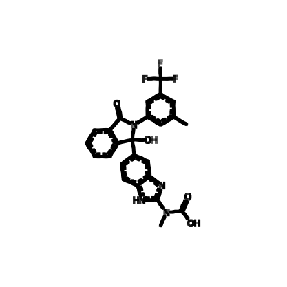 Cc1cc(N2C(=O)c3ccccc3C2(O)c2ccc3[nH]c(N(C)C(=O)O)nc3c2)cc(C(F)(F)F)c1